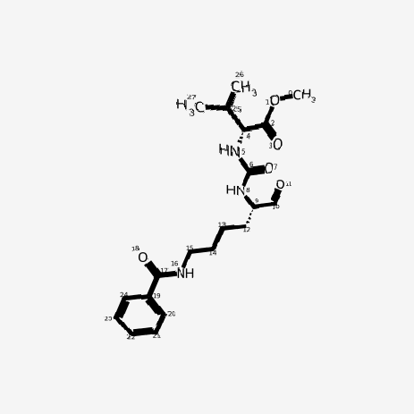 COC(=O)[C@H](NC(=O)N[C@H](C=O)CCCCNC(=O)c1ccccc1)C(C)C